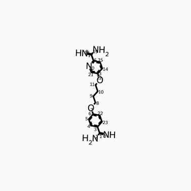 N=C(N)c1ccc(OCCCCOc2ccc(C(=N)N)nc2)cc1